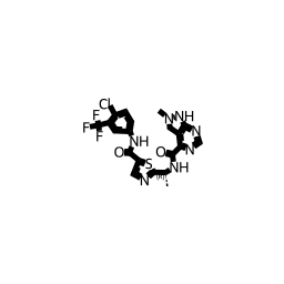 C[C@@H](NC(=O)c1ncnc2c1CN(C)N2)c1ncc(C(=O)Nc2ccc(Cl)c(C(F)(F)F)c2)s1